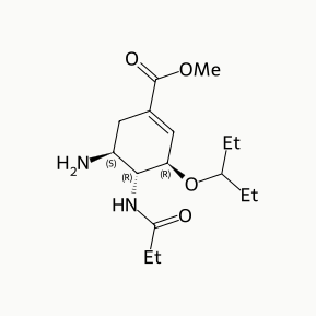 CCC(=O)N[C@@H]1[C@@H](N)CC(C(=O)OC)=C[C@H]1OC(CC)CC